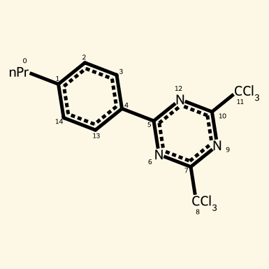 CCCc1ccc(-c2nc(C(Cl)(Cl)Cl)nc(C(Cl)(Cl)Cl)n2)cc1